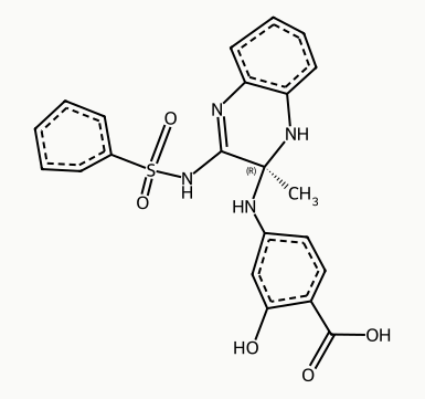 C[C@@]1(Nc2ccc(C(=O)O)c(O)c2)Nc2ccccc2N=C1NS(=O)(=O)c1ccccc1